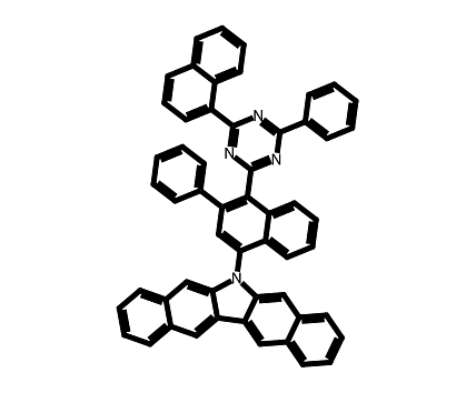 c1ccc(-c2nc(-c3cccc4ccccc34)nc(-c3c(-c4ccccc4)cc(-n4c5cc6ccccc6cc5c5cc6ccccc6cc54)c4ccccc34)n2)cc1